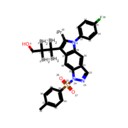 BC(B)(CO)C(B)(B)c1c(C(C)C)n(-c2ccc(F)cc2)c2cc3cnn(S(=O)(=O)c4ccc(C)cc4)c3cc12